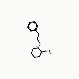 N[C@H]1CCCC[C@@H]1OCCc1ccccc1